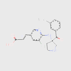 Cc1cccc(C(=O)[C@@]2(Nc3ncc(/C=C/C(=O)O)cc3Cl)CCNC2)c1